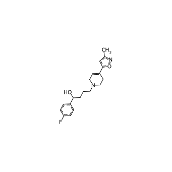 Cc1cc(C2=CCN(CCCC(O)c3ccc(F)cc3)CC2)on1